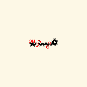 CC(C)(CO)CCOC(=O)CCCCC(=O)OCc1ccccc1